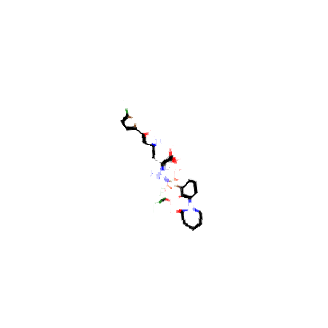 O=C(O)[C@H](Cc1cc(-c2ccc(Cl)s2)on1)NS(=O)(=O)c1cccc(N2CCCCC2=O)c1OC(F)F